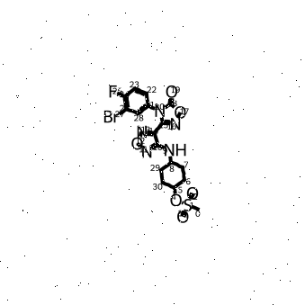 CS(=O)(=O)OC1CCC(Nc2nonc2-c2noc(=O)n2-c2ccc(F)c(Br)c2)CC1